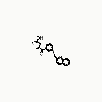 CC(CC(=O)O)C(=O)c1cccc(OCc2ccc3ccccc3n2)c1